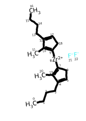 CCCCC1=CC[C]([Zr+2][C]2=C(C)C(CCCC)=CC2)=C1C.[F-].[F-]